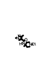 CCN1CCC(C)(NC(=O)c2cn(C)nc2C)CC1